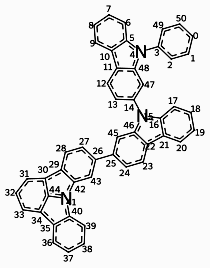 c1ccc(-n2c3ccccc3c3ccc(-n4c5ccccc5c5ccc(-c6ccc7c8cccc9c%10ccccc%10n(c7c6)c98)cc54)cc32)cc1